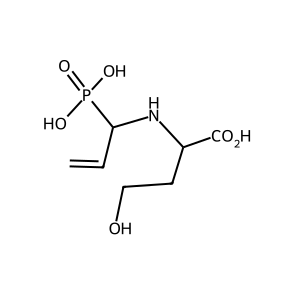 C=CC(NC(CCO)C(=O)O)P(=O)(O)O